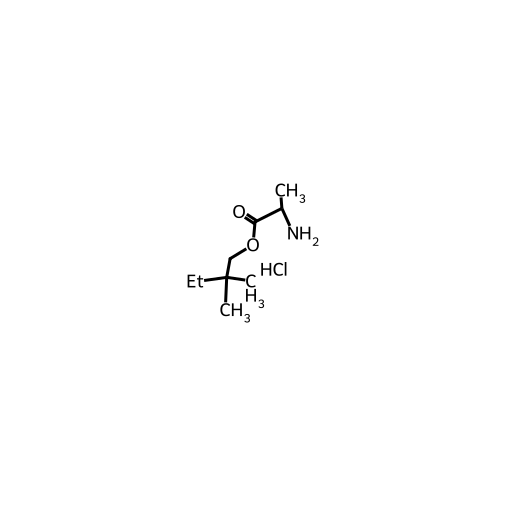 CCC(C)(C)COC(=O)C(C)N.Cl